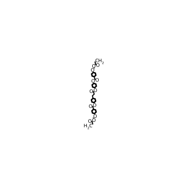 C=CC(=O)OCOc1ccc(C(=O)Oc2ccc(CCC(=O)Oc3ccc(OC(=O)c4ccc(OCOC(=O)C=C)cc4)cc3)cc2)cc1